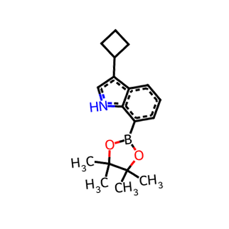 CC1(C)OB(c2cccc3c(C4CCC4)c[nH]c23)OC1(C)C